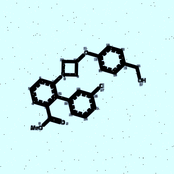 COC(=O)c1cccc(N2CC(Oc3ccc(CO)cc3)C2)c1-c1cccc(Cl)c1